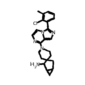 Cc1cccc(-c2ncc3c(N4CCC5(CC4)CC4CC4C5N)nccn23)c1Cl